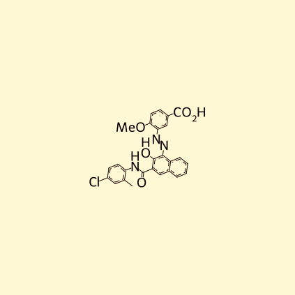 COc1ccc(C(=O)O)cc1/N=N/c1c(O)c(C(=O)Nc2ccc(Cl)cc2C)cc2ccccc12